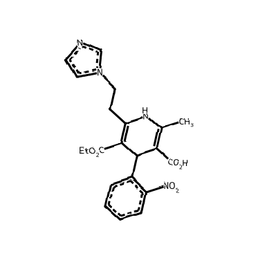 CCOC(=O)C1=C(CCn2ccnc2)NC(C)=C(C(=O)O)C1c1ccccc1[N+](=O)[O-]